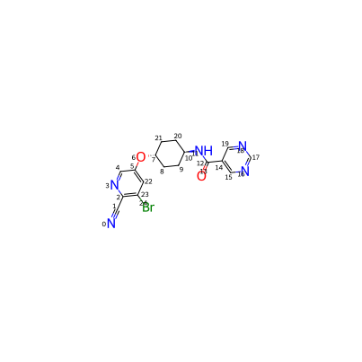 N#Cc1ncc(O[C@H]2CC[C@H](NC(=O)c3cncnc3)CC2)cc1Br